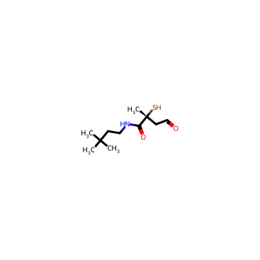 CC(C)(C)CCNC(=O)[C@](C)(S)CC=O